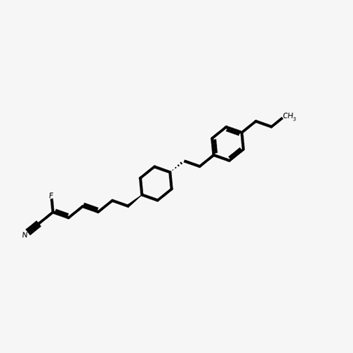 CCCc1ccc(CC[C@H]2CC[C@H](CCC=CC=C(F)C#N)CC2)cc1